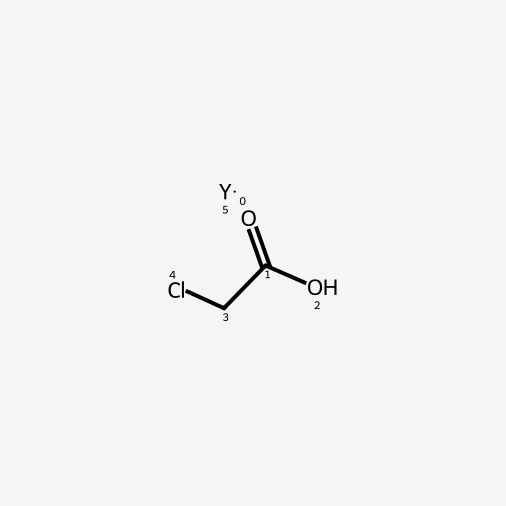 O=C(O)CCl.[Y]